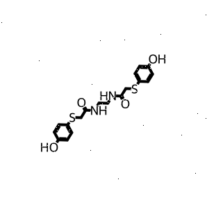 O=C(CSc1ccc(O)cc1)NCCNC(=O)CSc1ccc(O)cc1